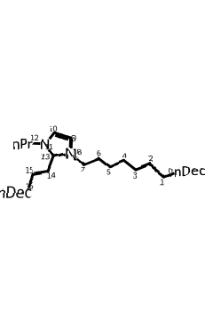 CCCCCCCCCCCCCCCCCN1C=CN(CCC)C1CCCCCCCCCCCC